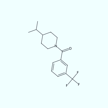 CC(C)C1CCN(C(=O)c2cccc(C(F)(F)F)c2)CC1